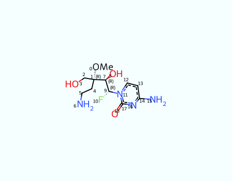 CO[C@@](CO)(CCN)[C@@H](O)[C@@H](F)n1ccc(N)nc1=O